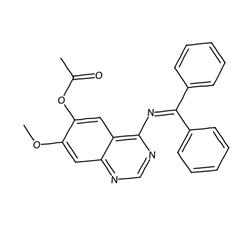 COc1cc2ncnc(N=C(c3ccccc3)c3ccccc3)c2cc1OC(C)=O